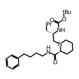 CC(C)C[C@@H](CN1CCCC[C@H]1C(=O)NCCCCc1ccccc1)NC(=O)OC(C)(C)C